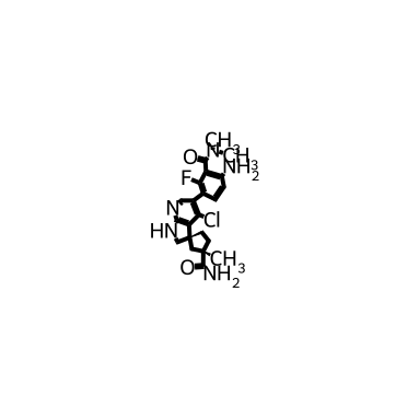 CN(C)C(=O)c1c(N)ccc(-c2cnc3c(c2Cl)[C@@]2(CC[C@](C)(C(N)=O)C2)CN3)c1F